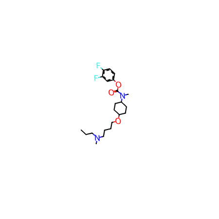 CCCN(C)CCCCOC1CCC(N(C)C(=O)Oc2ccc(F)c(F)c2)CC1